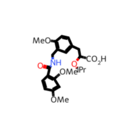 COc1ccc(C(=O)NCc2cc(CC(OC(C)C)C(=O)O)ccc2OC)c(OC)c1